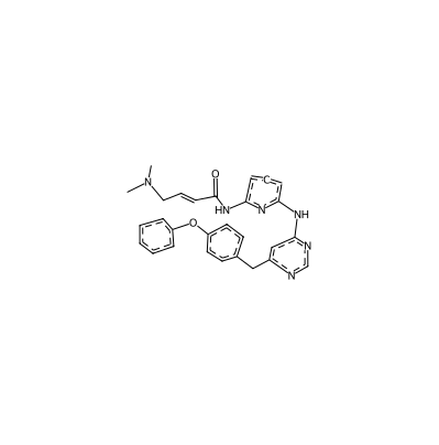 CN(C)C/C=C/C(=O)Nc1cccc(Nc2cc(Cc3ccc(Oc4ccccc4)cc3)ncn2)n1